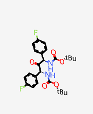 CC(C)(C)OC(=O)N[C@@H](C(=O)[C@H](NC(=O)OC(C)(C)C)c1ccc(F)cc1)c1ccc(F)cc1